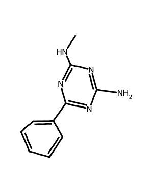 CNc1nc(N)nc(-c2ccccc2)n1